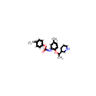 Cc1ccc(OC(C)C2CCCNC2)c(NC(=O)Oc2ccc([N+](=O)[O-])cc2)c1